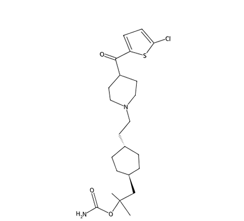 CC(C)(C[C@H]1CC[C@H](CCN2CCC(C(=O)c3ccc(Cl)s3)CC2)CC1)OC(N)=O